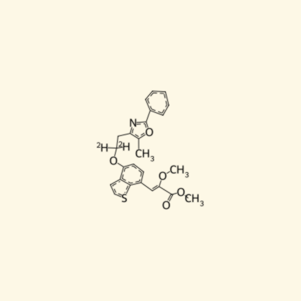 [2H]C([2H])(Cc1nc(-c2ccccc2)oc1C)Oc1ccc(/C=C(\OC)C(=O)OC)c2sccc12